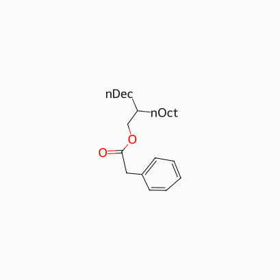 CCCCCCCCCCC(CCCCCCCC)COC(=O)Cc1ccccc1